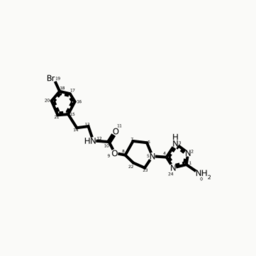 Nc1n[nH]c(N2CCC(OC(=O)NCCc3ccc(Br)cc3)CC2)n1